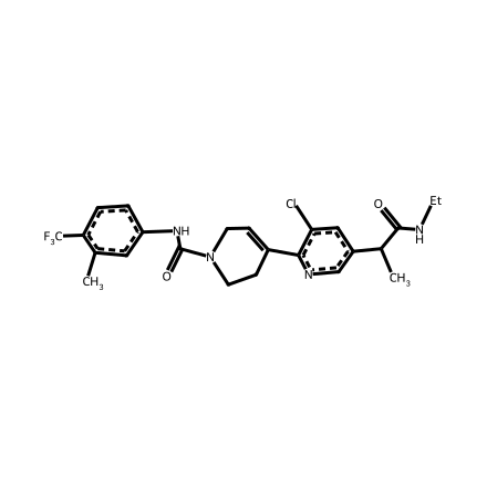 CCNC(=O)C(C)c1cnc(C2=CCN(C(=O)Nc3ccc(C(F)(F)F)c(C)c3)CC2)c(Cl)c1